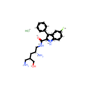 Cl.NCC(CO)C[C@@H](N)CNC(=O)c1[nH]c2ccc(F)cc2c1-c1ccccc1